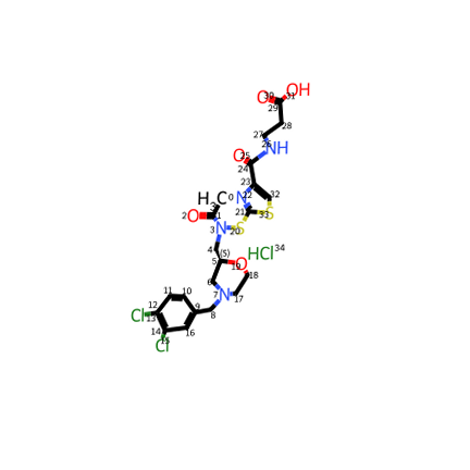 CC(=O)N(C[C@@H]1CN(Cc2ccc(Cl)c(Cl)c2)CCO1)Sc1nc(C(=O)NCCC(=O)O)cs1.Cl